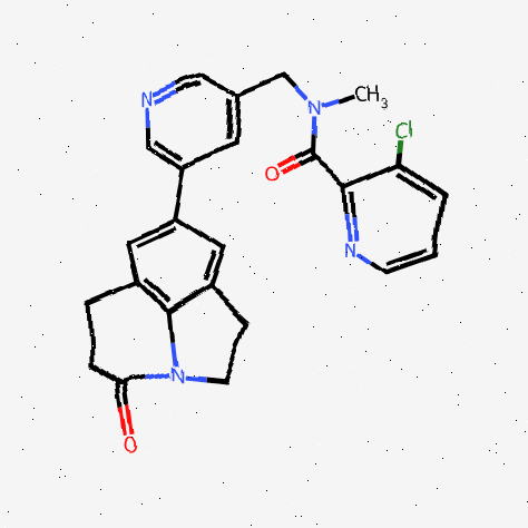 CN(Cc1cncc(-c2cc3c4c(c2)CCN4C(=O)CC3)c1)C(=O)c1ncccc1Cl